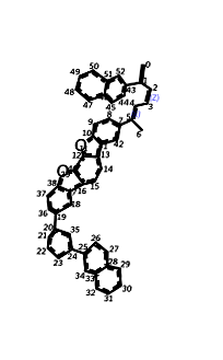 C=C(/C=C\C=C(/C)c1ccc2oc3c(ccc4c5cc(-c6cccc(-c7ccc8ccccc8c7)c6)ccc5oc43)c2c1)c1ccc2ccccc2c1